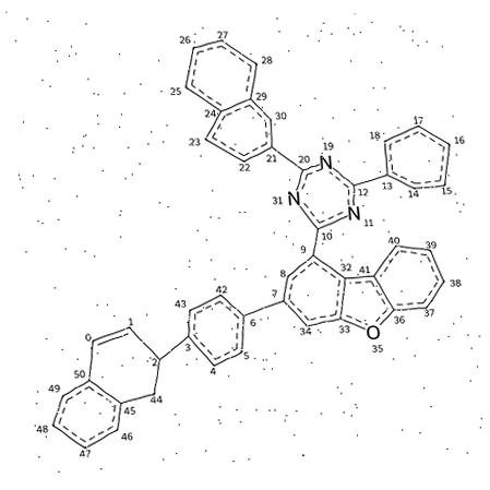 C1=CC(c2ccc(-c3cc(-c4nc(-c5ccccc5)nc(-c5ccc6ccccc6c5)n4)c4c(c3)oc3ccccc34)cc2)Cc2ccccc21